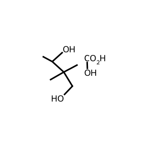 CC(O)C(C)(C)CO.O=C(O)O